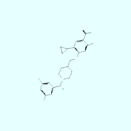 Cc1cc(Cl)cc([C@H](C)N2CCC(COc3cc(F)c(C(=O)Cl)cc3C3CC3)CC2)c1